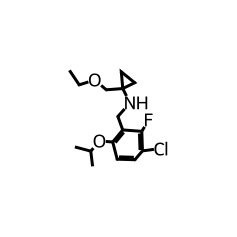 CCOCC1(NCc2c(OC(C)C)ccc(Cl)c2F)CC1